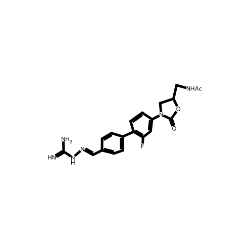 CC(=O)NCC1CN(c2ccc(-c3ccc(C=NNC(=N)N)cc3)c(F)c2)C(=O)O1